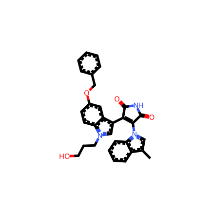 Cc1cn(C2=C(c3cn(CCCO)c4ccc(OCc5ccccc5)cc34)C(=O)NC2=O)c2ccccc12